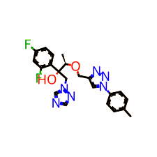 Cc1ccc(-n2cc(CO[C@H](C)[C@](O)(Cn3cncn3)c3ccc(F)cc3F)nn2)cc1